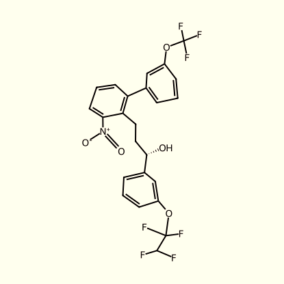 O=[N+]([O-])c1cccc(-c2cccc(OC(F)(F)F)c2)c1CC[C@H](O)c1cccc(OC(F)(F)C(F)F)c1